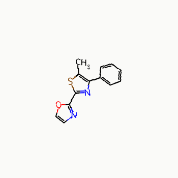 Cc1sc(-c2ncco2)nc1-c1ccccc1